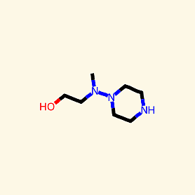 CN(CCO)N1CCNCC1